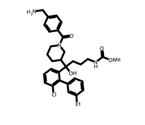 CCc1cccc(-c2c(Cl)cccc2C(O)(CCCNC(=O)OC)C2CCCN(C(=O)c3ccc(CN)cc3)C2)c1